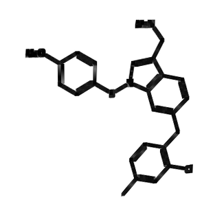 CNCc1cn(Sc2ccc(OC)cc2)c2cc(Cc3ccc(C)cc3Cl)ccc12